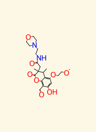 COCCOc1cc(O)c(C=O)c2c1C(C)C(C)(CC(=O)NCCN1CCOCC1)C(=O)O2